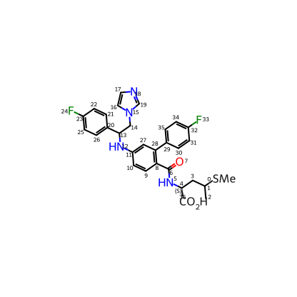 CSC(C)C[C@H](NC(=O)c1ccc(NC(Cn2ccnc2)c2ccc(F)cc2)cc1-c1ccc(F)cc1)C(=O)O